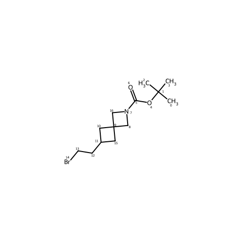 CC(C)(C)OC(=O)N1CC2(CC(CCBr)C2)C1